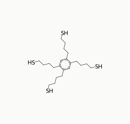 SCCCCc1cc(CCCCS)c(CCCCS)cc1CCCCS